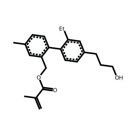 C=C(C)C(=O)OCc1cc(C)ccc1-c1ccc(CCCO)cc1CC